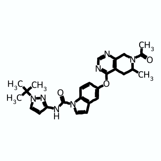 CC(=O)N1Cc2ncnc(Oc3ccc4c(ccn4C(=O)Nc4ccn(C(C)(C)C)n4)c3)c2CC1C